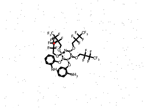 Nc1ccccc1ON1P(Oc2ccccc2N)N(OCC(F)(F)C(F)(F)C(F)(F)F)P(OCC(F)(F)C(F)(F)C(F)(F)F)N=P1(OCC(F)(F)C(F)(F)C(F)(F)F)OCC(F)(F)C(F)(F)C(F)(F)F